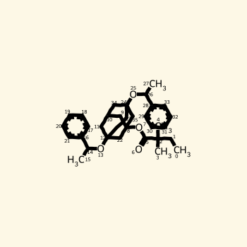 CCC(C)(C)C(=O)OC12CC3CC(OC(C)c4ccccc4)(C1)CC(OC(C)c1ccccc1)(C3)C2